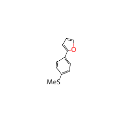 CSc1ccc(-c2ccco2)cc1